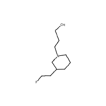 OCCCN1CCCC(CCF)C1